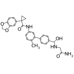 Cc1ccc(NC(=O)C2(c3ccc4c(c3)OCO4)CC2)cc1-c1ccc(C(O)NCC(N)=O)cc1